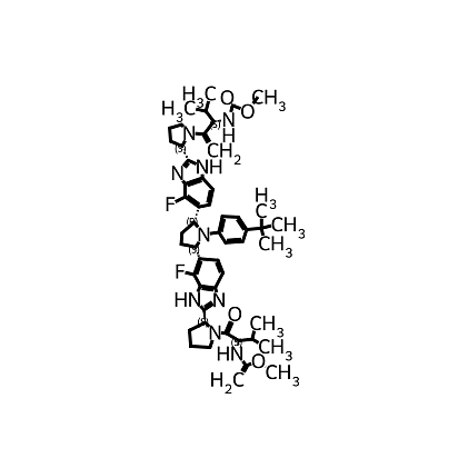 C=C(N[C@H](C(=O)N1CCC[C@H]1c1nc2ccc([C@@H]3CC[C@H](c4ccc5[nH]c([C@@H]6CCCN6C(=C)[C@@H](NC(=O)OC)C(C)C)nc5c4F)N3c3ccc(C(C)(C)C)cc3)c(F)c2[nH]1)C(C)C)OC